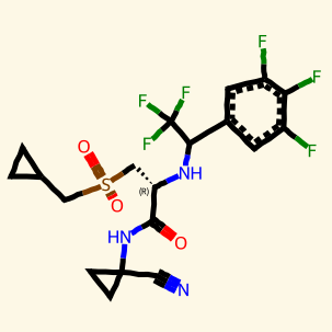 N#CC1(NC(=O)[C@H](CS(=O)(=O)CC2CC2)NC(c2cc(F)c(F)c(F)c2)C(F)(F)F)CC1